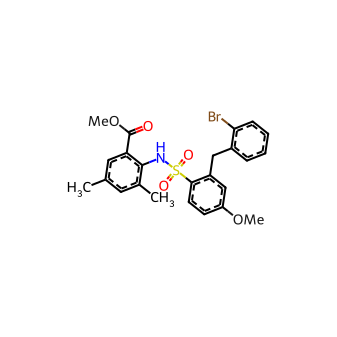 COC(=O)c1cc(C)cc(C)c1NS(=O)(=O)c1ccc(OC)cc1Cc1ccccc1Br